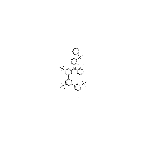 CC(C)(C)c1cc(-c2cc(N(c3ccc4c(c3)C(C)(C)c3ccccc3-4)c3ccccc3C(C)(C)C)cc(C(C)(C)C)c2)cc(-c2cc(C(C)(C)C)cc(C(C)(C)C)c2)c1